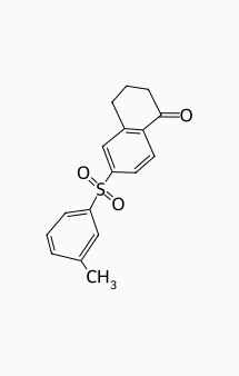 Cc1cccc(S(=O)(=O)c2ccc3c(c2)CCCC3=O)c1